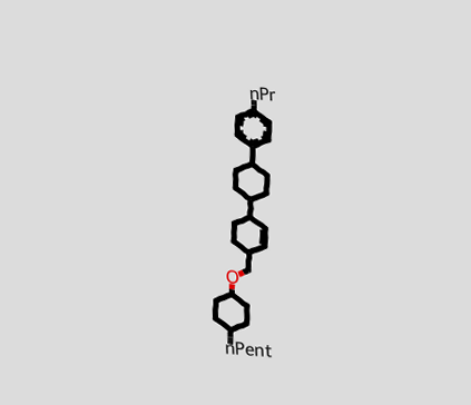 CCCCCC1CCC(OCC2C=CC(C3CCC(c4ccc(CCC)cc4)CC3)CC2)CC1